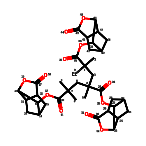 CCC(C)(CC(C)(CC(C)(C)C(=O)OC1C2CC3C(=O)OC1C3C2)C(=O)OC1C2CC3C(=O)OC1C3C2)C(=O)OC1C2CC3C(=O)OC1C3C2